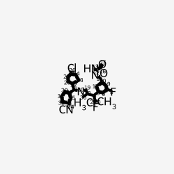 CC(C)(F)C(c1cc(F)cc(-c2n[nH]c(=O)o2)c1)C1CN(C(c2ccc(Cl)cc2)c2cccc(C#N)c2)C1